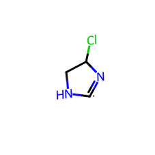 ClC1CN[C]=N1